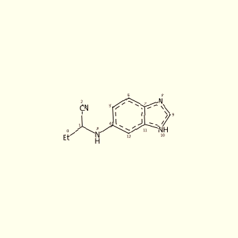 CCC(C#N)Nc1ccc2nc[nH]c2c1